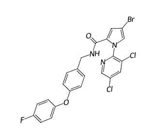 O=C(NCc1ccc(Oc2ccc(F)cc2)cc1)c1cc(Br)cn1-c1ncc(Cl)cc1Cl